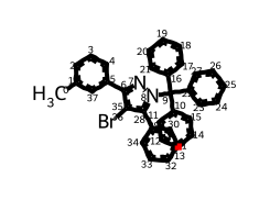 Cc1cccc(-c2nn(C(c3ccccc3)(c3ccccc3)c3ccccc3)c(-c3ccccc3)c2Br)c1